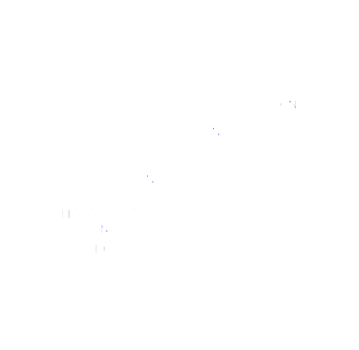 CCN(C[C@H]1CN(c2ccc(N3CCC(CC#N)CC3)c(F)c2)C(=O)O1)C(=O)O